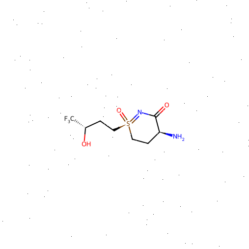 N[C@H]1CC[S@@](=O)(CC[C@H](O)C(F)(F)F)=NC1=O